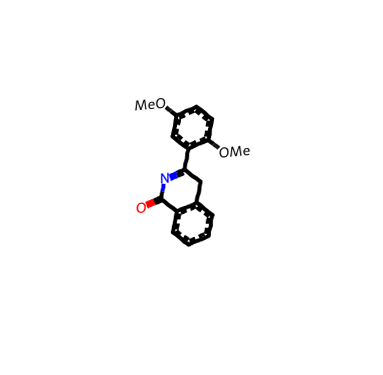 COc1ccc(OC)c(C2=NC(=O)c3ccccc3C2)c1